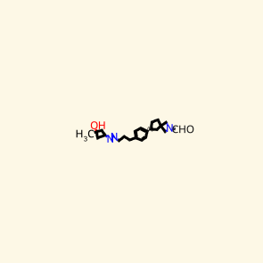 CC1(O)CC(N=NCCCc2ccc([C@@H]3CCC4(C3)CN(C=O)C4)cc2)C1